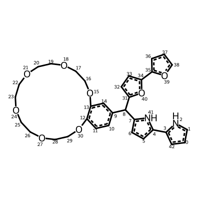 c1c[nH]c(-c2ccc(C(c3ccc4c(c3)OCCOCCOCCOCCOCCO4)c3ccc(-c4ccco4)o3)[nH]2)c1